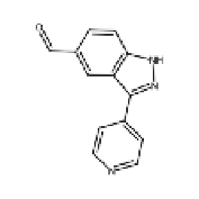 O=Cc1ccc2[nH]nc(-c3ccncc3)c2c1